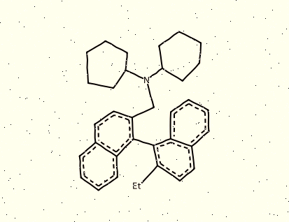 CCc1ccc2ccccc2c1-c1c(CN(C2CCCCC2)C2CCCCC2)ccc2ccccc12